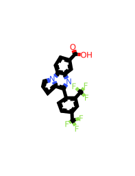 O=C(O)c1ccc2c(c1)nc(-c1ccc(C(F)(F)F)cc1C(F)(F)F)c1cccn12